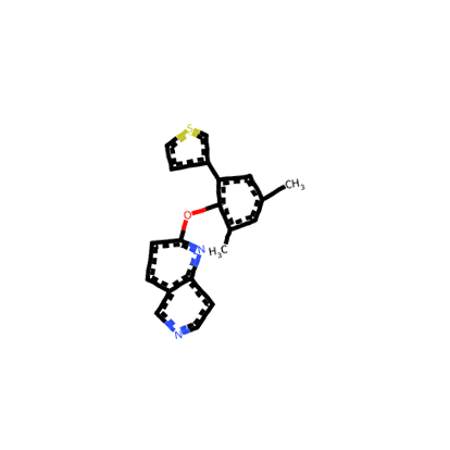 Cc1cc(C)c(Oc2ccc3cnccc3n2)c(-c2ccsc2)c1